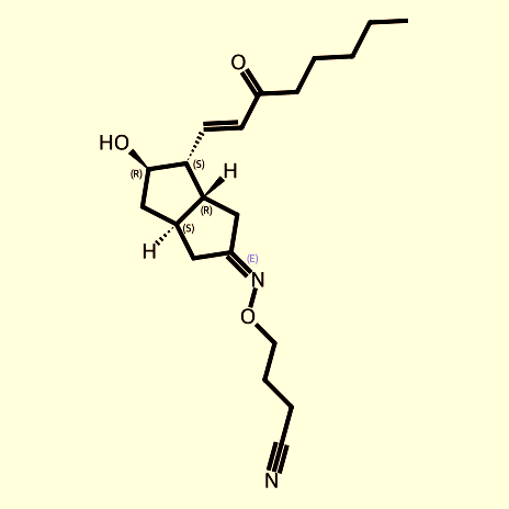 CCCCCC(=O)C=C[C@@H]1[C@@H]2C/C(=N/OCCCC#N)C[C@H]2C[C@H]1O